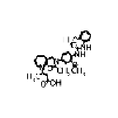 COc1cc(N(CC2=CN(C(C)CC(=O)O)C=CC=C2)C(C)=O)ccc1NC(=O)Nc1ccccc1C